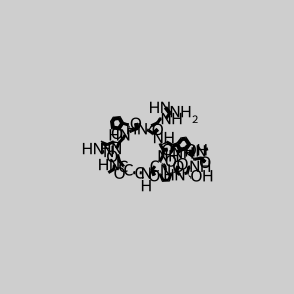 CNC(=O)[C@H](CO)NC(=O)[C@H](CO)NC(=O)[C@@H]1CCCN1C(=O)[C@@H]1CC(=O)NCCCC[C@H](NC(C)=O)C(=O)N[C@@H](Cc2c[nH]cn2)C(=O)N[C@H](Cc2ccccc2)C(=O)N[C@@H](CCCNC(=N)N)C(=O)N[C@@H](Cc2c[nH]c3ccccc23)C(=O)N1